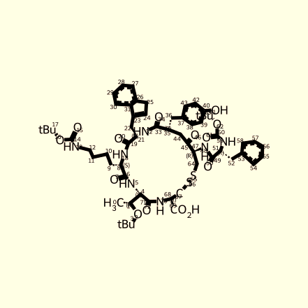 C[C@@H](OC(C)(C)C)[C@@H]1NC(=O)[C@H](CCCCNC(=O)OC(C)(C)C)NC(=O)[C@@H](CC2=CCc3ccccc32)NC(=O)[C@H](Cc2ccc(O)cc2)CC(=O)[C@@H](NC(=O)[C@@H](Cc2ccccc2)NC(=O)OC(C)(C)C)CSSC[C@@H](C(=O)O)NC1=O